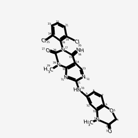 CN1C(=O)COc2ccc(Nc3ncc4c(=N)n(-c5c(Cl)cccc5Cl)c(=O)n(C)c4n3)cc21